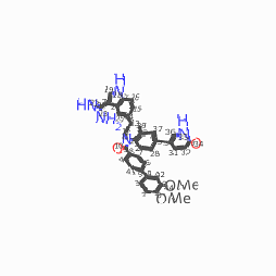 COc1ccc(-c2ccc(C(=O)N(CCc3ccc4[nH]cc(C(=N)N)c4c3)c3ccc(-c4ccc(=O)[nH]c4)cc3C)cc2)cc1OC